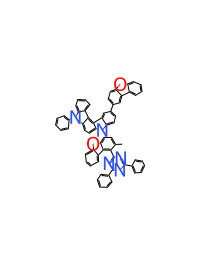 Cc1cc(-n2c3ccc(-c4ccc5oc6ccccc6c5c4)cc3c3c4c5ccccc5n(-c5ccccc5)c4ccc32)c2oc3ccccc3c2c1-c1nc(-c2ccccc2)nc(-c2ccccc2)n1